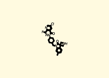 Cc1ccc2c(c1)N(CC1CCC(NC(=O)c3cc(Cl)cnc3C(F)F)CC1)C(=O)C21CNC1